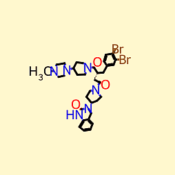 CN1CCN(C2CCN(C(=O)[C@@H](CC(=O)N3CCC(N4Cc5ccccc5NC4=O)CC3)Cc3ccc(Br)c(Br)c3)CC2)CC1